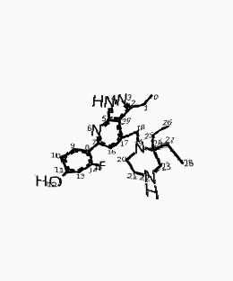 CCc1n[nH]c2nc(-c3ccc(O)cc3F)cc(CN3CCNCC3(CC)CC)c12